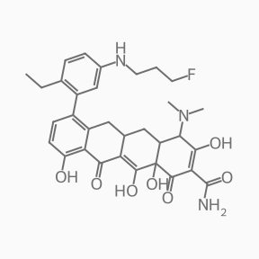 CCc1ccc(NCCCF)cc1-c1ccc(O)c2c1CC1CC3C(N(C)C)C(O)=C(C(N)=O)C(=O)C3(O)C(O)=C1C2=O